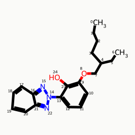 CCCCC(CC)COc1cccc(-n2nc3ccccc3n2)c1O